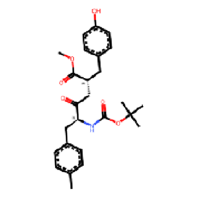 COC(=O)[C@@H](CC(=O)[C@H](Cc1ccc(C)cc1)NC(=O)OC(C)(C)C)Cc1ccc(O)cc1